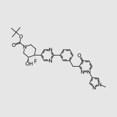 Cn1cc(-n2ccc(=O)c(Cc3cccc(-c4ncc([C@]5(F)CCN(C(=O)OC(C)(C)C)C[C@@H]5O)cn4)c3)n2)cn1